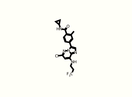 Cc1cc(-c2cnc3c(NCCC(F)(F)F)cc(Cl)nn23)ccc1C(=O)NC1CC1